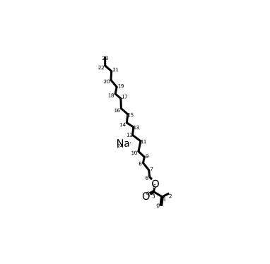 C=C(C)C(=O)OCCCCCCCCCCCCCCCCCC.[Na]